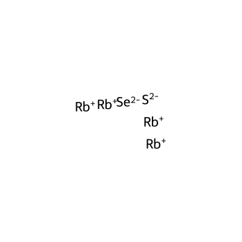 [Rb+].[Rb+].[Rb+].[Rb+].[S-2].[Se-2]